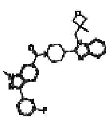 Cn1nc(-c2cccc(F)c2)c2ccc(C(=O)N3CCC(c4nc5ccccc5n4CC4(C)COC4)CC3)cc21